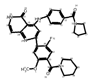 COc1cc(-c2cc(Nc3ccc(C(=O)N4CCCC4)cc3)c3c(=O)[nH]ccc3n2)c(F)cc1C(=O)N1CCCCC1